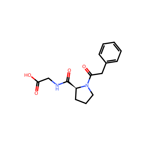 O=C(O)CNC(=O)[C@@H]1CCCN1C(=O)Cc1ccccc1